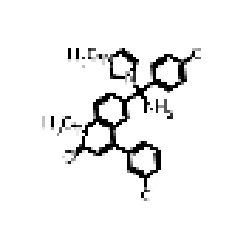 CN1C=CN(C(N)(c2ccc(Cl)cc2)c2ccc3c(c2)c(-c2cccc(Cl)c2)cc(=O)n3C)C1